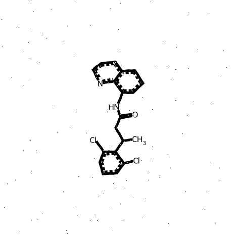 CC(CC(=O)Nc1cccc2cccnc12)c1c(Cl)cccc1Cl